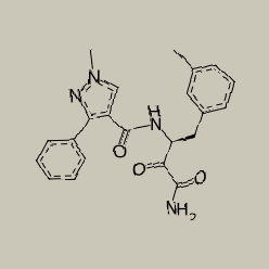 Cc1cccc(C[C@H](NC(=O)c2cn(C)nc2-c2ccccc2)C(=O)C(N)=O)c1